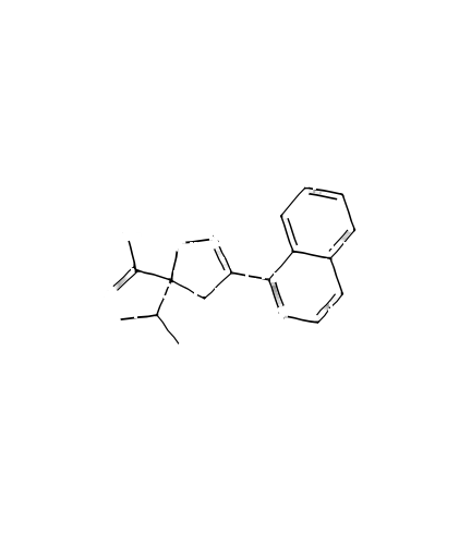 CC(C)C1(C(=O)O)CC(c2nccc3ccccc23)=NO1